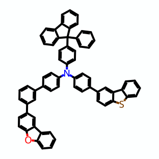 c1ccc(C2(c3ccc(N(c4ccc(-c5cccc(-c6ccc7oc8ccccc8c7c6)c5)cc4)c4ccc(-c5ccc6sc7ccccc7c6c5)cc4)cc3)c3ccccc3-c3ccccc32)cc1